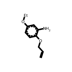 C=CCOc1ccc(OCC)cc1N